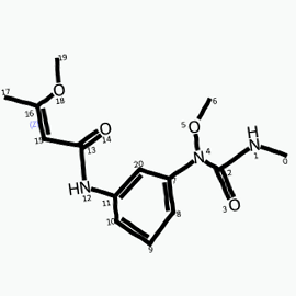 CNC(=O)N(OC)c1cccc(NC(=O)/C=C(/C)OC)c1